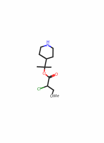 COCC(Cl)C(=O)OC(C)(C)C1CCNCC1